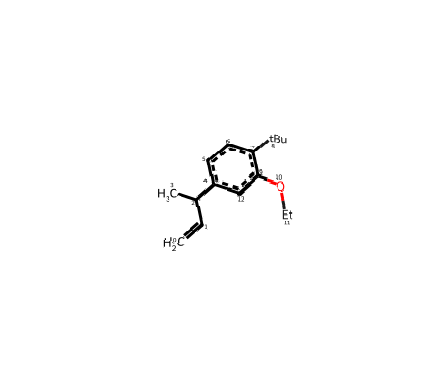 C=C[C](C)c1ccc(C(C)(C)C)c(OCC)c1